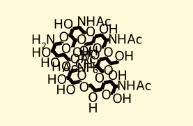 CC(=O)NC1C(O)OC(C(O)COC2OC(C)C(O)C(O)C2O)C(OC2OC(CO)C(OC3OC(CO)C(OC4OC(CO)C(OC5OC(COC(C)=O)C(O)C(O)C5N)C(O)C4NC(C)=O)C(O)C3NC(C)=O)C(O)C2NC(C)=O)C1O